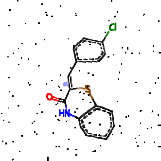 O=C1Nc2ccccc2S/C1=C\c1ccc(Cl)cc1